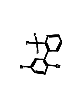 FC(F)(F)c1[c]cccc1-c1cc(Br)ccc1Br